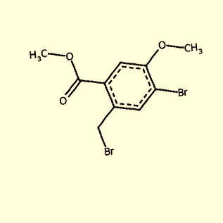 COC(=O)c1cc(OC)c(Br)cc1CBr